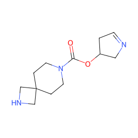 O=C(OC1CC=NC1)N1CCC2(CC1)CNC2